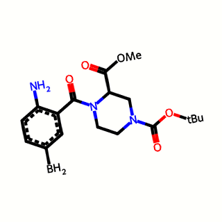 Bc1ccc(N)c(C(=O)N2CCN(C(=O)OC(C)(C)C)CC2C(=O)OC)c1